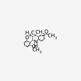 COc1cccc2c1C1Nc3ccc(C(C)=O)cc3C(C)(C)C1CO2